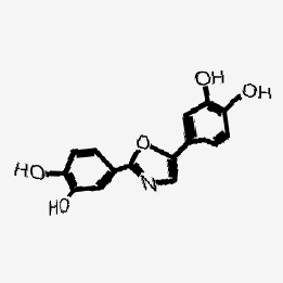 Oc1ccc(-c2cnc(-c3ccc(O)c(O)c3)o2)cc1O